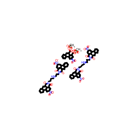 CS(=O)(=O)OC(=O)c1cc([N+](=O)[O-])cc2c1c(C(=O)OS(C)(=O)=O)cc1ccccc12.O=C1c2cc([N+](=O)[O-])cc3c2c(cc2ccccc23)C(=O)N1CCCCNCCCN1C(=O)c2cc([N+](=O)[O-])cc3c2c(cc2ccccc23)C1=O.O=C1c2cc([N+](=O)[O-])cc3c2c(cc2ccccc23)C(=O)N1CCCCNCCCN1C(=O)c2cc([N+](=O)[O-])cc3c2c(cc2ccccc23)C1=O